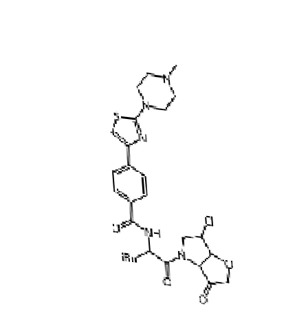 CCC(C)C(NC(=O)c1ccc(-c2csc(N3CCN(C)CC3)n2)cc1)C(=O)N1CC(Cl)C2OCC(=O)C21